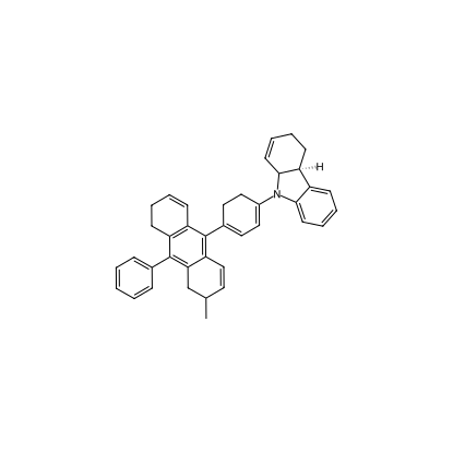 CC1C=Cc2c(c(-c3ccccc3)c3c(c2C2=CC=C(N4c5ccccc5[C@@H]5CCC=CC54)CC2)C=CCC3)C1